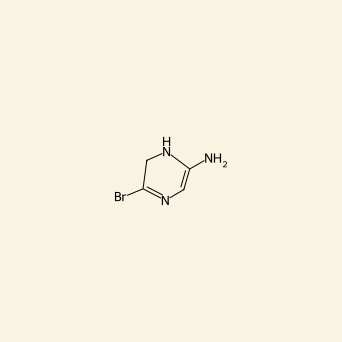 NC1=CN=C(Br)CN1